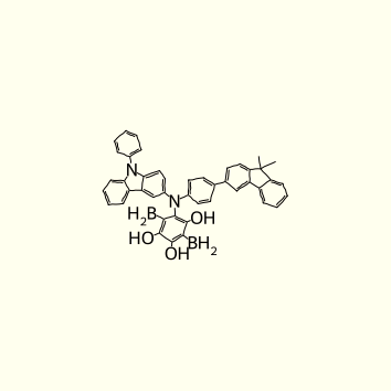 Bc1c(O)c(O)c(B)c(N(c2ccc(-c3ccc4c(c3)-c3ccccc3C4(C)C)cc2)c2ccc3c(c2)c2ccccc2n3-c2ccccc2)c1O